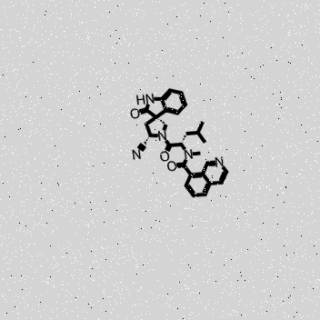 CC(C)C[C@@H](C(=O)N1C[C@]2(C[C@H]1C#N)C(=O)Nc1ccccc12)N(C)C(=O)c1cccc2ccncc12